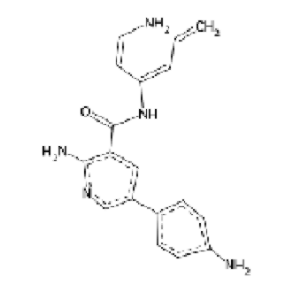 C=C/C=C(\C=C/N)NC(=O)c1cc(-c2ccc(N)cc2)cnc1N